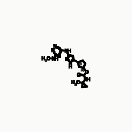 CNc1nncc(Nc2cc([C@H]3CC[C@@H](OC(=O)NC4(C)CC4)C3)[nH]n2)n1